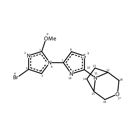 COc1nc(Br)cn1-c1csc(N2C3CCC2COC3)n1